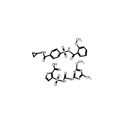 COc1ccccc1C(=O)NS(=O)(=O)c1ccc(C(=O)NC2CC2)cc1.COc1nc(C)nc(NC(=O)NS(=O)(=O)c2ccsc2C(=O)O)n1